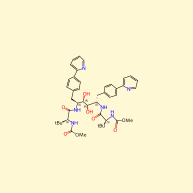 COC(=O)N[C@H](C(=O)N[C@@H](Cc1ccc(-c2ccccn2)cc1)[C@@H](O)[C@H](O)[C@H](Cc1ccc(-c2ccccn2)cc1)NC(=O)[C@@H](NC(=O)OC)C(C)(C)C)C(C)(C)C